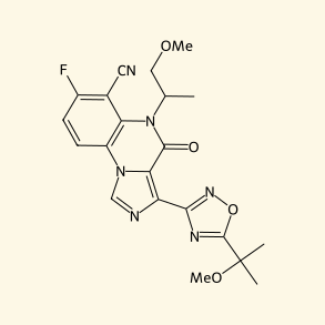 COCC(C)n1c(=O)c2c(-c3noc(C(C)(C)OC)n3)ncn2c2ccc(F)c(C#N)c21